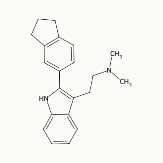 CN(C)CCc1c(-c2ccc3c(c2)CCC3)[nH]c2ccccc12